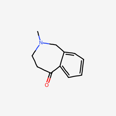 CN1CCC(=O)c2ccccc2C1